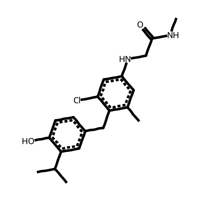 CNC(=O)CNc1cc(C)c(Cc2ccc(O)c(C(C)C)c2)c(Cl)c1